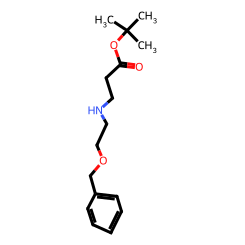 CC(C)(C)OC(=O)CCNCCOCc1ccccc1